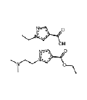 CCOC(=O)c1cnn(CCN(C)C)c1.CCn1cc(C(=O)O)cn1